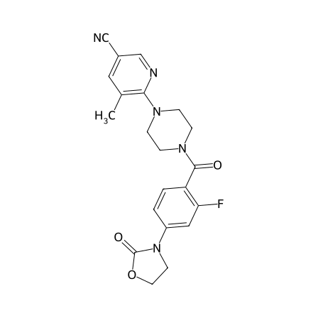 Cc1cc(C#N)cnc1N1CCN(C(=O)c2ccc(N3CCOC3=O)cc2F)CC1